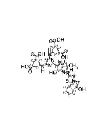 CC(C)(C)c1nn(-c2nc(Nc3cc(C(=O)O)cc(C(=O)O)c3)nc(Nc3cc(C(=O)O)cc(C(=O)O)c3)n2)c(O)c1/N=N/c1nnc(-c2ccccc2C(=O)O)s1